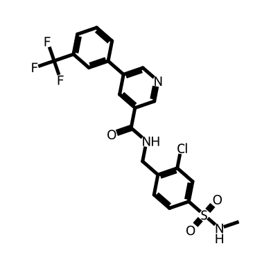 CNS(=O)(=O)c1ccc(CNC(=O)c2cncc(-c3cccc(C(F)(F)F)c3)c2)c(Cl)c1